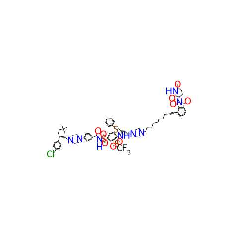 CC1(C)CCC(c2ccc(Cl)cc2)=C(CN2CCN(c3ccc(C(=O)NS(=O)(=O)c4ccc(N[C@H](CCN5CCN(CCCCCCCCC#Cc6cccc7c6C(=O)N(C6CCC(=O)NC6=O)C7=O)CC5)CSc5ccccc5)c(S(=O)(=O)C(F)(F)F)c4)cc3)CC2)C1